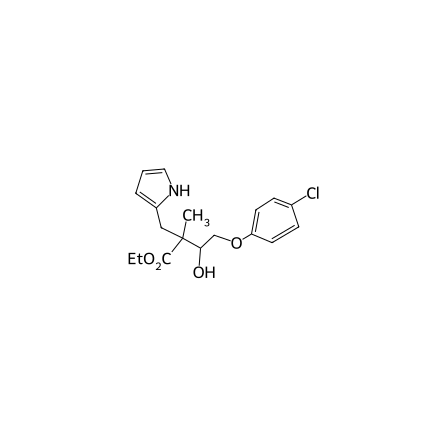 CCOC(=O)C(C)(Cc1ccc[nH]1)C(O)COc1ccc(Cl)cc1